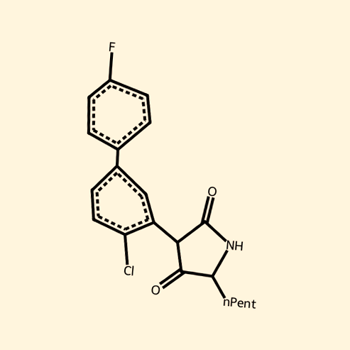 CCCCCC1NC(=O)C(c2cc(-c3ccc(F)cc3)ccc2Cl)C1=O